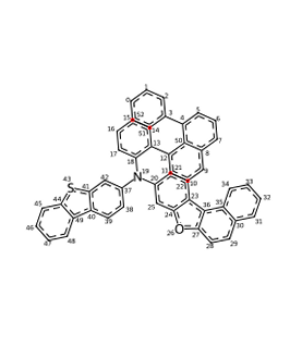 c1ccc(-c2cccc3cccc(-c4ccccc4N(c4ccc5c(c4)oc4ccc6ccccc6c45)c4ccc5c(c4)sc4ccccc45)c23)cc1